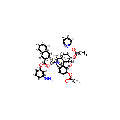 CC(=O)Oc1ccc2c3c1O[C@H]1[C@@H](OC(C)=O)C=C[C@H]4[C@@H](C2)N(C)CC[C@@]341.Nc1cccc(OC(=O)c2ccc3ccccc3c2)c1.c1ccncc1